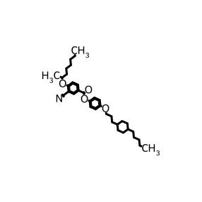 CCCCCCC(C)Oc1ccc(C(=O)Oc2ccc(OCCCC3CCC(CCCCC)CC3)cc2)cc1C#N